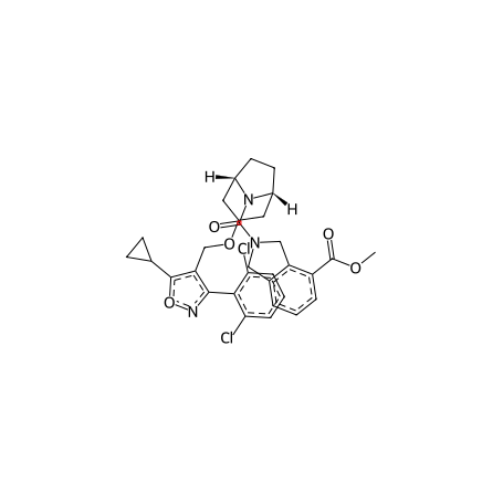 COC(=O)c1cccc2c1CN(C(=O)N1[C@@H]3CC[C@H]1CC(OCc1c(-c4c(Cl)cccc4Cl)noc1C1CC1)C3)C2